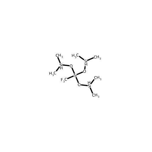 C[SiH](C)O[Si](O[SiH](C)C)(O[SiH](C)C)C(F)(F)F